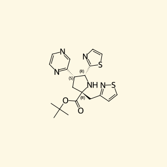 CC(C)(C)OC(=O)[C@]1(Cc2ccsn2)C[C@H](c2cnccn2)[C@H](c2nccs2)N1